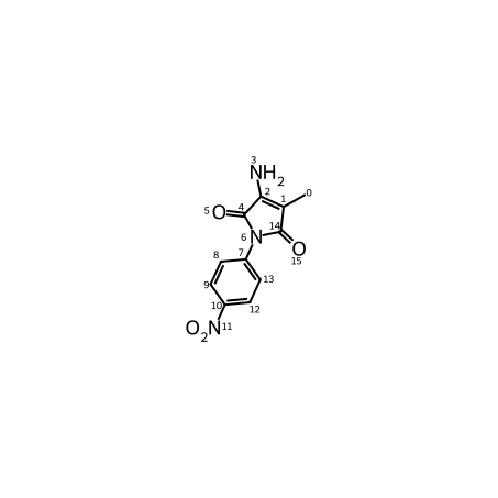 CC1=C(N)C(=O)N(c2ccc([N+](=O)[O-])cc2)C1=O